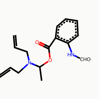 C=CCN(CC=C)C(C)OC(=O)c1ccccc1N[C]=O